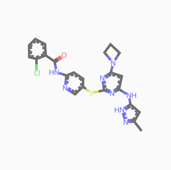 Cc1cc(Nc2cc(N3CCC3)nc(Sc3ccc(NC(=O)c4ccccc4Cl)nc3)n2)[nH]n1